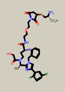 CC(C)(C)[C@H](c1nc(-c2cc(F)ccc2F)cn1Cc1ccccc1)N(CC[C@H](N)C(=O)NCCOCCN1C(=O)CC(SC[C@H](N)C(=O)O)C1=O)C(=O)CO